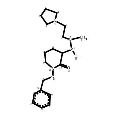 CN(CCN1CCCC1)P(O)C1CCCN(OCc2ccccc2)C1=O